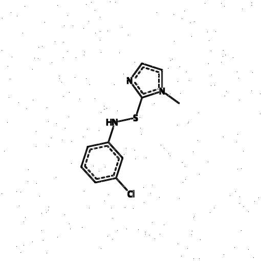 Cn1ccnc1SNc1cccc(Cl)c1